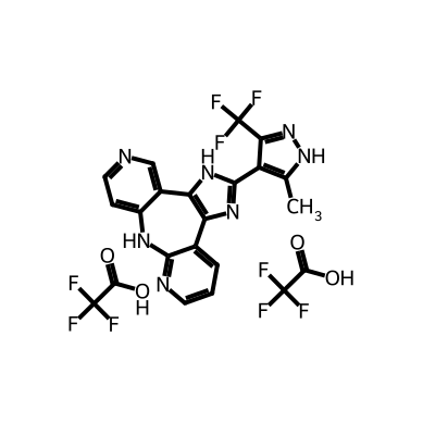 Cc1[nH]nc(C(F)(F)F)c1-c1nc2c([nH]1)-c1cnccc1Nc1ncccc1-2.O=C(O)C(F)(F)F.O=C(O)C(F)(F)F